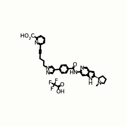 CN1CCC[C@@H]1c1cc2cnc(NC(=O)c3ccc(-c4cnn(CCCC#Cc5cccc(C(=O)O)n5)c4)cc3)cc2[nH]1.O=C(O)C(F)(F)F